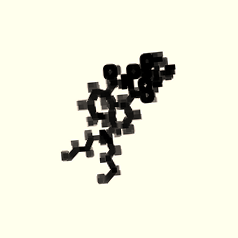 CCCCN(CCCC)c1ccc2c3c(cccc13)C(=O)N(OS(=O)(=O)C(F)(F)F)C2=O